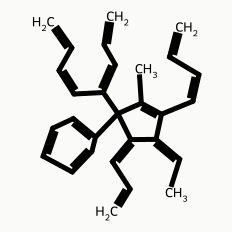 C=C/C=C\C1=C(C)C(C(/C=C\C=C)=C/C=C)(c2ccccc2)C(=C/C=C)/C1=C\C